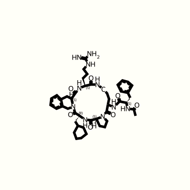 CC(=O)N[C@@H](Cc1ccccc1)C(=O)NC1CCCNC(=O)[C@H](CCCNC(=N)N)NC(=O)[C@@H]2Cc3ccccc3CN2C(=O)[C@@H](CC2CCCCC2)NC(=O)[C@@H]2CCCN2C1=O